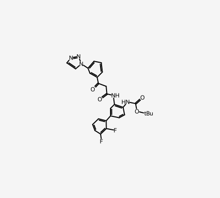 CC(C)(C)OC(=O)Nc1ccc(-c2cccc(F)c2F)cc1NC(=O)CC(=O)c1cccc(-n2ccnn2)c1